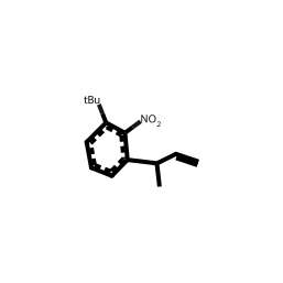 C=C[C](C)c1cccc(C(C)(C)C)c1[N+](=O)[O-]